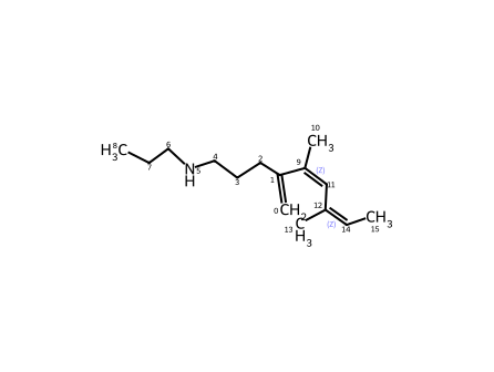 C=C(CCCNCCC)/C(C)=C\C(C)=C/C